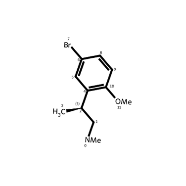 CNC[C@@H](C)c1cc(Br)ccc1OC